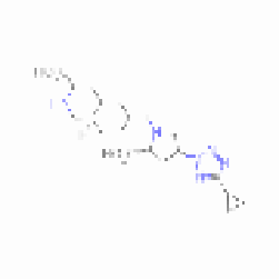 O=C(O)C1CC2CC(CN3C[C@@H](n4nnc(C5CC5)n4)C[C@H]3C(=O)O)CC[C@H]2CN1